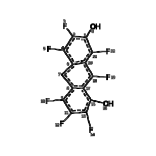 Oc1c(F)c(F)c2cc3c(F)c(F)c(F)c(O)c3c(F)c2c1F